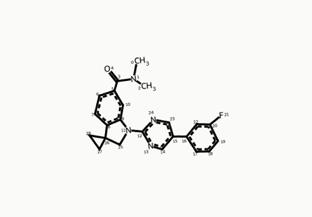 CN(C)C(=O)c1ccc2c(c1)N(c1ncc(-c3cccc(F)c3)cn1)CC21CC1